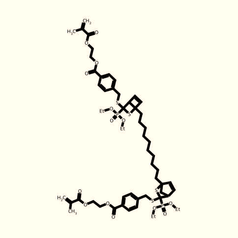 C=C(C)C(=O)OCCOC(=O)c1ccc(CSC2(P(=O)(OCC)OCC)SC3(CCCCCCCCCCC45C=CC4C(SCc4ccc(C(=O)OCCOC(=O)C(=C)C)cc4)(P(=O)(OCC)OCC)S5)C=CC2C3)cc1